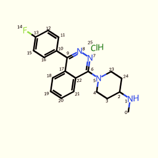 CNC1CCN(c2nnc(-c3ccc(F)cc3)c3ccccc23)CC1.Cl